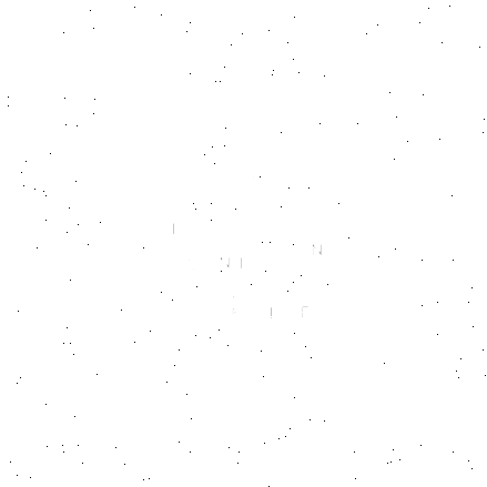 Fc1ncc(Cl)c2c1[C@H]1CC[C@@H](C2)N1